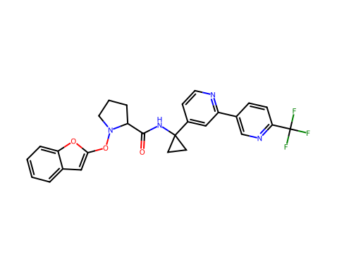 O=C(NC1(c2ccnc(-c3ccc(C(F)(F)F)nc3)c2)CC1)C1CCCN1Oc1cc2ccccc2o1